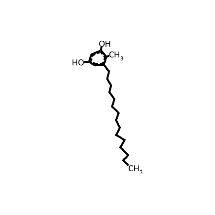 CCCCCCCCCCCCCCCc1cc(O)cc(O)c1C